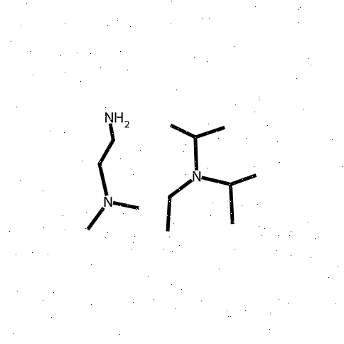 CCN(C(C)C)C(C)C.CN(C)CCN